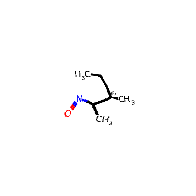 CC[C@@H](C)C(C)N=O